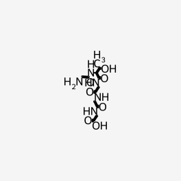 C[C@@H](O)[C@H](NC(=O)CN)C(=O)NCC(=O)NCC(=O)NCC(=O)O